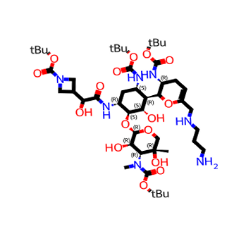 CN(C(=O)OC(C)(C)C)[C@@H]1[C@@H](O)[C@@H](O[C@@H]2[C@@H](O)[C@H](C3OC(CNCCCN)=CC[C@H]3NC(=O)OC(C)(C)C)[C@@H](NC(=O)OC(C)(C)C)C[C@H]2NC(=O)C(O)C2CN(C(=O)OC(C)(C)C)C2)OC[C@]1(C)O